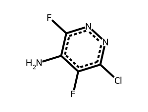 Nc1c(F)nnc(Cl)c1F